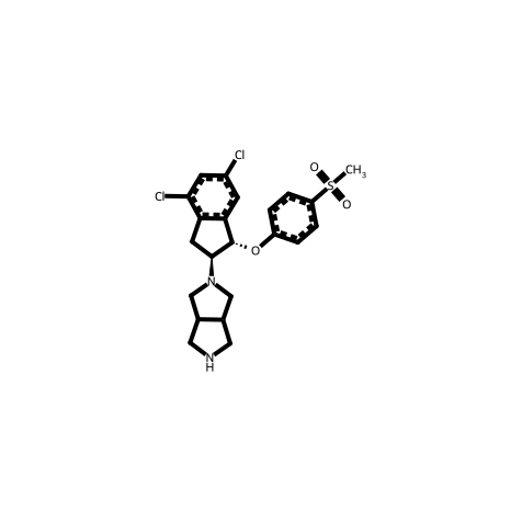 CS(=O)(=O)c1ccc(O[C@H]2c3cc(Cl)cc(Cl)c3C[C@@H]2N2CC3CNCC3C2)cc1